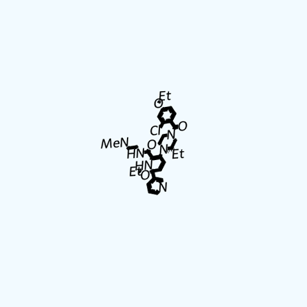 CCOc1ccc(C(=O)N2CCN(C3=C(C(=O)NCCNC)NC(OCC)(c4cccnc4)C=C3)[C@H](CC)C2)c(Cl)c1